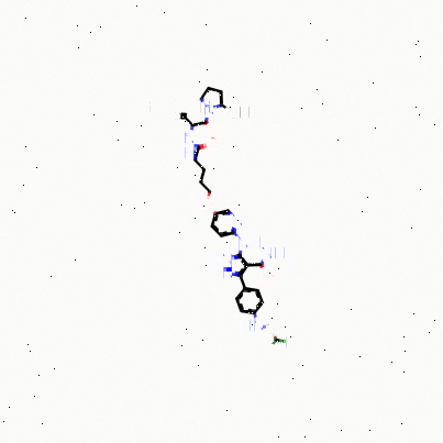 CC1CCCN1C(=O)C(NC(=O)CCCCOc1ccc(Nc2[nH]nc(-c3ccc(NSC(F)F)cc3)c2C(N)=O)nc1)C(C)(C)C